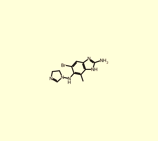 Cc1c(NN2C=NCC2)c(Br)cc2nc(N)[nH]c12